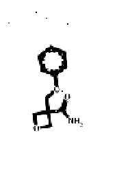 NC(=O)C1(COc2ccccc2)COC1